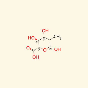 CC1[C@H](O)O[C@H](C(=O)O)[C@@H](O)[C@@H]1O